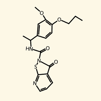 CCCOc1ccc(C(C)NC(=O)n2sc3ncccc3c2=O)cc1OC